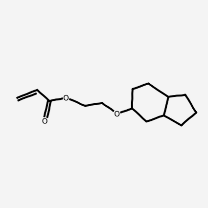 C=CC(=O)OCCOC1CCC2CCCC2C1